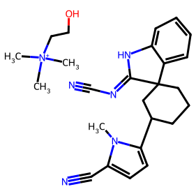 C[N+](C)(C)CCO.Cn1c(C#N)ccc1C1CCCC2(C1)/C(=N/C#N)Nc1ccccc12